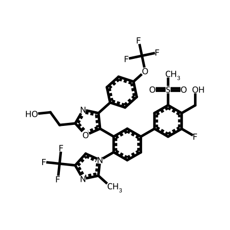 Cc1nc(C(F)(F)F)cn1-c1ccc(-c2cc(F)c(CO)c(S(C)(=O)=O)c2)cc1-c1oc(CCO)nc1-c1ccc(OC(F)(F)F)cc1